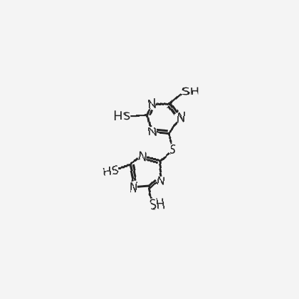 Sc1nc(S)nc(Sc2nc(S)nc(S)n2)n1